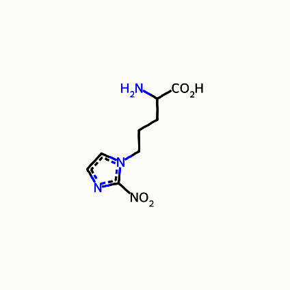 NC(CCCn1ccnc1[N+](=O)[O-])C(=O)O